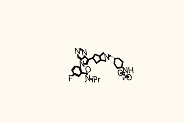 CC(C)N(C)C(=O)c1cc(F)ccc1-n1cc(C2CC3CN(C[C@H]4CC[C@H](NS(C)(=O)=O)CC4)CC3C2)c2ncncc21